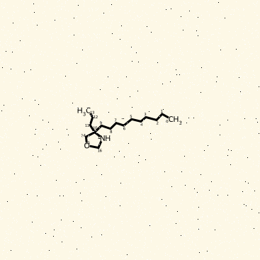 CCCCCCCCCCC1(CCC)COCN1